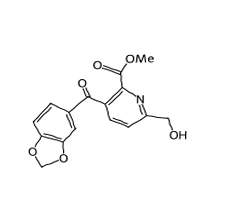 COC(=O)c1nc(CO)ccc1C(=O)c1ccc2c(c1)OCO2